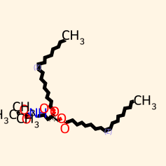 CCCCCCCC/C=C\CCCCCCCC(=O)OC[C@@H](CCCNC(=O)OC(C)(C)C)OC(=O)CCCCCCC/C=C\CCCCCCCC